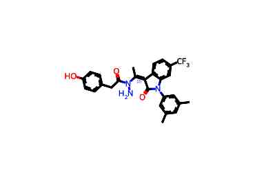 C/C(=C1/C(=O)N(c2cc(C)cc(C)c2)c2cc(C(F)(F)F)ccc21)N(N)C(=O)Cc1ccc(O)cc1